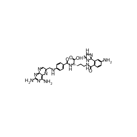 Nc1ccc(C(=O)NCCC[C@H](NC(=O)c2ccc(NCc3cnc4nc(N)nc(N)c4n3)cc2)C(=O)O)c(-c2nn[nH]n2)c1